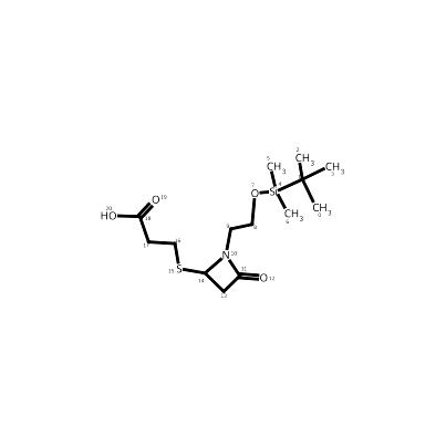 CC(C)(C)[Si](C)(C)OCCN1C(=O)CC1SCCC(=O)O